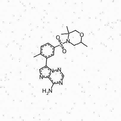 Cc1ccc(S(=O)(=O)N2CC(C)OCC2(C)C)cc1-c1cnc2c(N)ncnn12